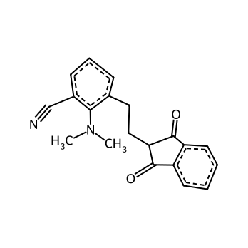 CN(C)c1c(C#N)cccc1CCC1C(=O)c2ccccc2C1=O